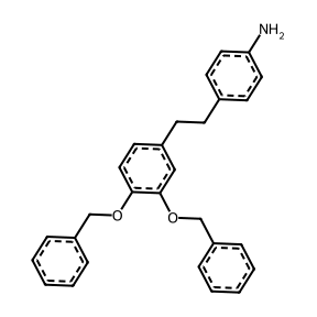 Nc1ccc(CCc2ccc(OCc3ccccc3)c(OCc3ccccc3)c2)cc1